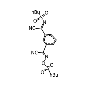 CCCCS(=O)(=O)/N=C(\C#N)c1cccc(C(C#N)=NOS(=O)(=O)CCCC)c1